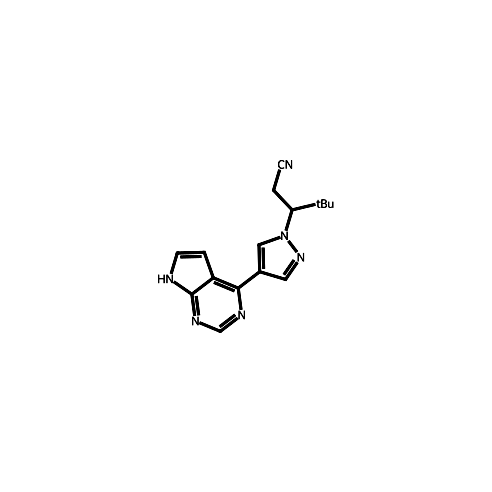 CC(C)(C)C(CC#N)n1cc(-c2ncnc3[nH]ccc23)cn1